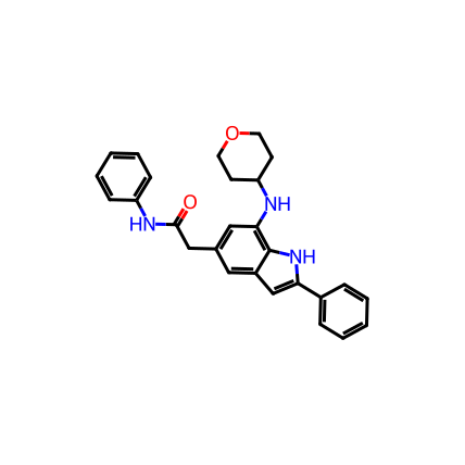 O=C(Cc1cc(NC2CCOCC2)c2[nH]c(-c3ccccc3)cc2c1)Nc1ccccc1